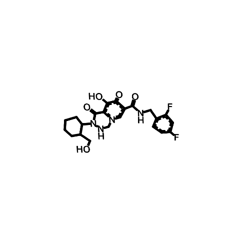 O=C(NCc1ccc(F)cc1F)c1cn2c(c(O)c1=O)C(=O)N(C1CCCCC1CO)NC2